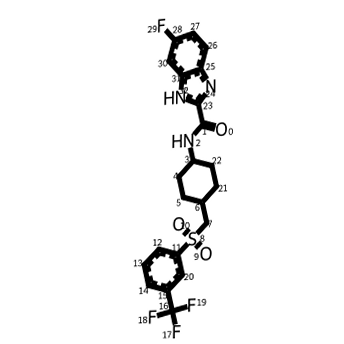 O=C(NC1CCC(CS(=O)(=O)c2cccc(C(F)(F)F)c2)CC1)c1nc2ccc(F)cc2[nH]1